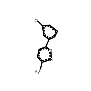 Cc1ccc(-c2cccc(Cl)c2)nn1